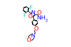 NC(=O)c1nc(-c2c(F)cccc2F)oc1-c1ccc(OCCN2CCOCC2)cc1